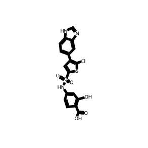 O=C(O)c1ccc(NS(=O)(=O)c2cc(-c3ccc4[nH]cnc4c3)c(Cl)s2)cc1O